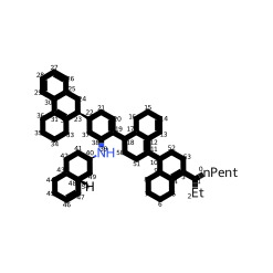 CCCCCC(CC)C1=C2CCCCC2C(C2=C3C=CCCC3C(C3=CCC([C@@H]4CC5C=CC=CC5C5=C4CCCC5)CC3N[C@H]3CCC4CCC=C[C@H]4C3)CC2)CC1